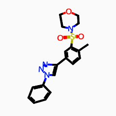 Cc1ccc(-c2cn(-c3ccccc3)nn2)cc1S(=O)(=O)N1CCOCC1